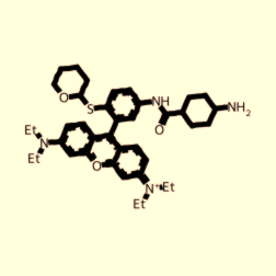 CCN(CC)c1ccc2c(-c3cc(NC(=O)C4CCC(N)CC4)ccc3SC3CCCCO3)c3ccc(=[N+](CC)CC)cc-3oc2c1